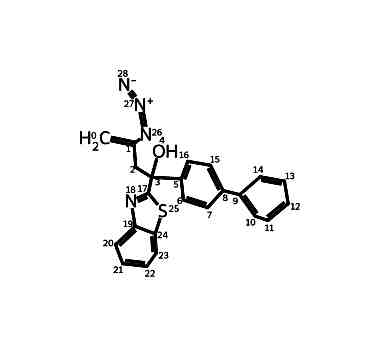 C=C(CC(O)(c1ccc(-c2ccccc2)cc1)c1nc2ccccc2s1)N=[N+]=[N-]